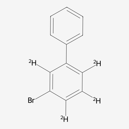 [2H]c1c([2H])c(Br)c([2H])c(-c2ccccc2)c1[2H]